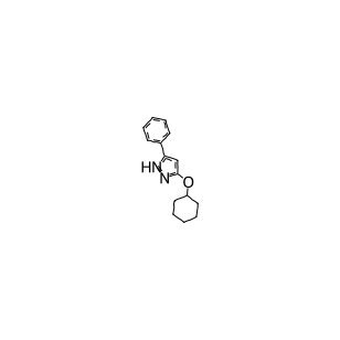 c1ccc(-c2cc(OC3CCCCC3)n[nH]2)cc1